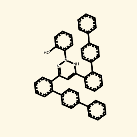 Oc1ccccc1N1N=C(c2ccccc2-c2ccc(-c3ccccc3)cc2)C=C(c2ccccc2-c2ccc(-c3ccccc3)cc2)N1